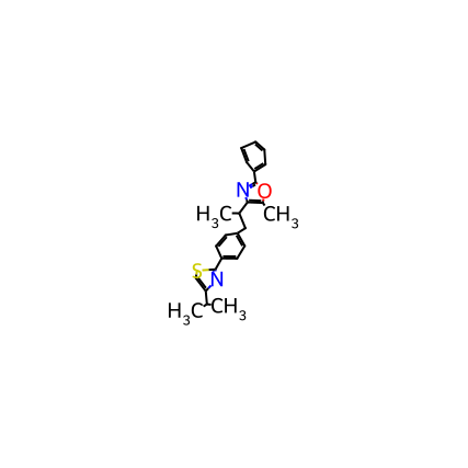 Cc1oc(-c2ccccc2)nc1C(C)Cc1ccc(-c2nc(C(C)C)cs2)cc1